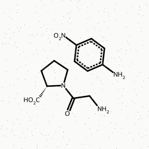 NCC(=O)N1CCC[C@H]1C(=O)O.Nc1ccc([N+](=O)[O-])cc1